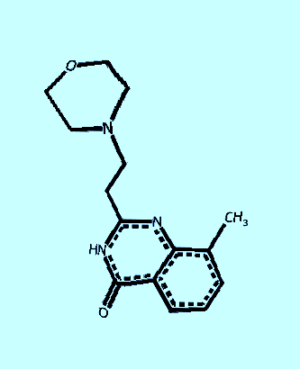 Cc1cccc2c(=O)[nH]c(CCN3CCOCC3)nc12